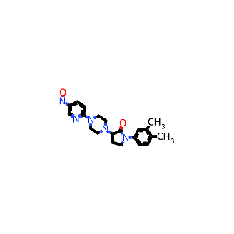 Cc1ccc(N2CCC(N3CCN(c4ccc(N=O)cn4)CC3)C2=O)cc1C